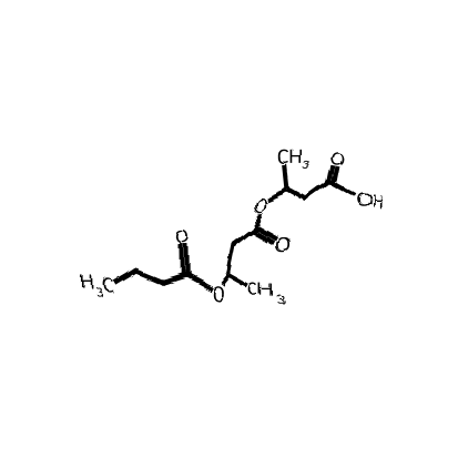 CCCC(=O)OC(C)CC(=O)OC(C)CC(=O)O